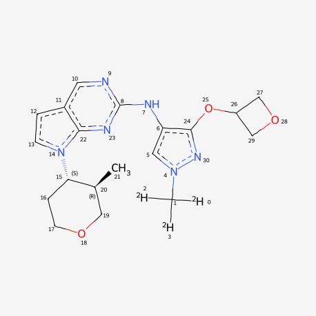 [2H]C([2H])([2H])n1cc(Nc2ncc3ccn([C@H]4CCOC[C@@H]4C)c3n2)c(OC2COC2)n1